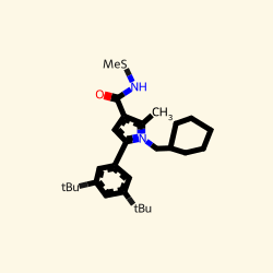 CSNC(=O)c1cc(-c2cc(C(C)(C)C)cc(C(C)(C)C)c2)n(CC2CCCCC2)c1C